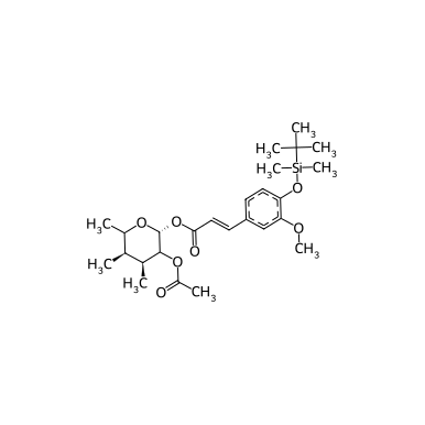 COc1cc(/C=C/C(=O)O[C@H]2OC(C)[C@H](C)[C@H](C)C2OC(C)=O)ccc1O[Si](C)(C)C(C)(C)C